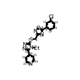 CCn1c(SCc2noc(-c3cccc(Cl)c3)n2)nnc1-c1ccncc1